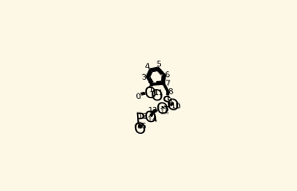 COc1ccccc1CS(=O)(=O)OCOP=O